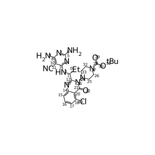 CC[C@H](Nc1nc(N)nc(N)c1C#N)c1nc2cccc(Cl)c2c(=O)n1N1CCN(C(=O)OC(C)(C)C)CC1